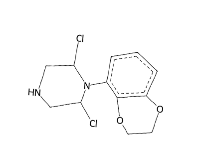 ClC1CNCC(Cl)N1c1cccc2c1OCCO2